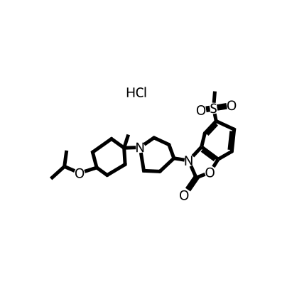 CC(C)OC1CCC(C)(N2CCC(n3c(=O)oc4ccc(S(C)(=O)=O)cc43)CC2)CC1.Cl